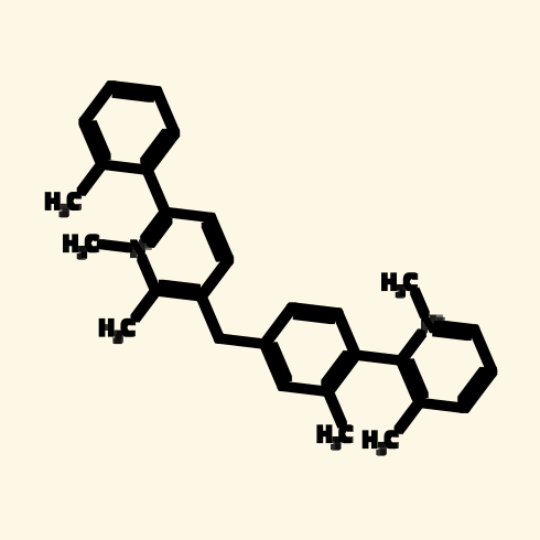 Cc1cc(Cc2ccc(-c3ccccc3C)[n+](C)c2C)ccc1-c1c(C)ccc[n+]1C